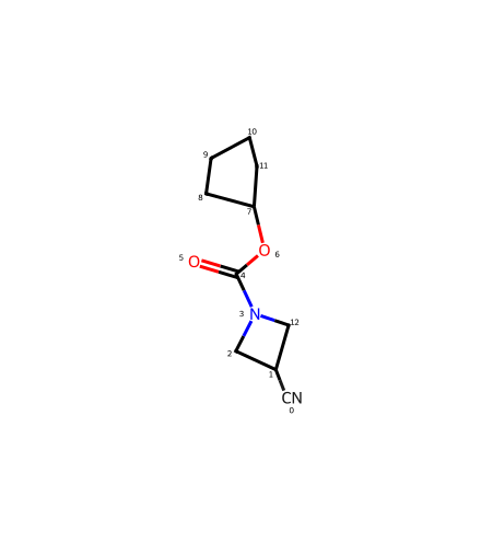 N#CC1CN(C(=O)OC2CCCC2)C1